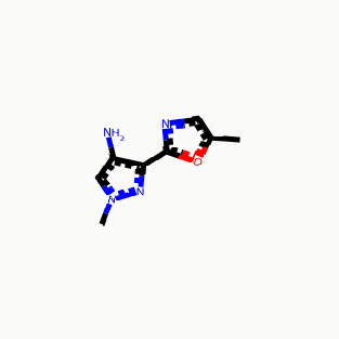 Cc1cnc(-c2nn(C)cc2N)o1